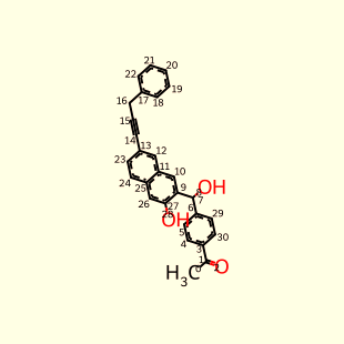 CC(=O)c1ccc(C(O)c2cc3cc(C#CCc4ccccc4)ccc3cc2O)cc1